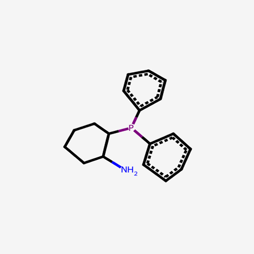 NC1CCCCC1P(c1ccccc1)c1ccccc1